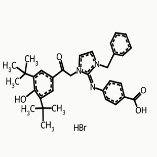 Br.CC(C)(C)c1cc(C(=O)Cn2ccn(Cc3ccccc3)/c2=N\c2ccc(C(=O)O)cc2)cc(C(C)(C)C)c1O